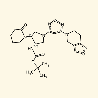 CC(C)(C)OC(=O)N[C@H]1CN(c2cc(N3CCc4nocc4C3)ncn2)C[C@@H]1N1CCCCC1=O